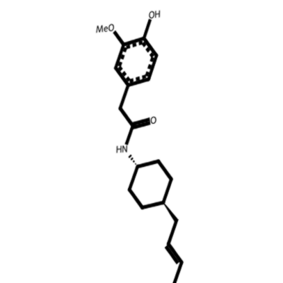 CC=CC[C@H]1CC[C@H](NC(=O)Cc2ccc(O)c(OC)c2)CC1